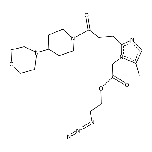 Cc1cnc(CCC(=O)N2CCC(N3CCOCC3)CC2)n1CC(=O)OCCN=[N+]=[N-]